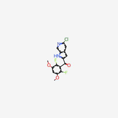 COc1cc(OC)c(F)c(C(=O)c2cc3cc(Cl)ncc3[nH]2)c1F